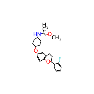 COC[C@H](C)NC1CCC(Oc2ccc3c(c2)CCC(c2ccccc2F)O3)CC1